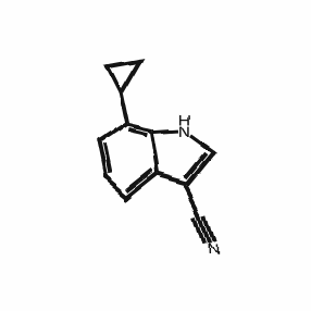 N#Cc1c[nH]c2c(C3CC3)cccc12